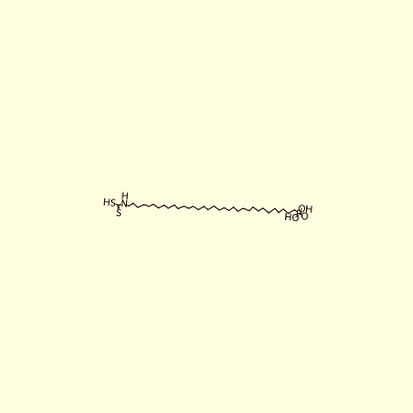 O=P(O)(O)CCCCCCCCCCCCCCCCCCCCCCCCCCCCCCCCCCNC(=S)S